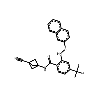 N#CC12CC(NC(=O)c3ccc(C(F)(F)F)cc3NSc3ccc4ccccc4c3)(C1)C2